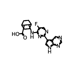 O=C(O)C1C2CCC(CC2)C1Nc1nc(-c2c[nH]c3ncncc23)ncc1F